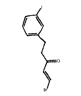 O=C(C=CBr)CCc1cccc(I)c1